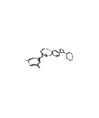 Cc1cc(C)cc(N2CCCc3cc(OC4CCCCC4)ccc3C2)c1